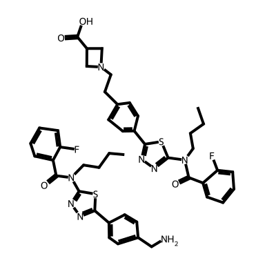 CCCCN(C(=O)c1ccccc1F)c1nnc(-c2ccc(CCN3CC(C(=O)O)C3)cc2)s1.CCCCN(C(=O)c1ccccc1F)c1nnc(-c2ccc(CN)cc2)s1